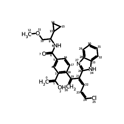 C=C(O)c1cc(C(=O)NC(COC)C2CC2)ccc1C(=C)/C(=C\C=C/Cl)c1nc2ccccc2[nH]1